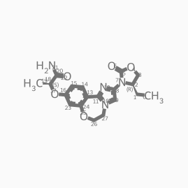 CC[C@@H]1COC(=O)N1c1cn2c(n1)-c1ccc(O[C@@H](C)C(N)=O)cc1OCC2